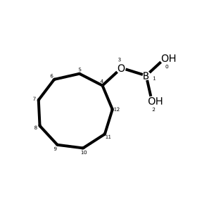 OB(O)OC1CCCCCCCC1